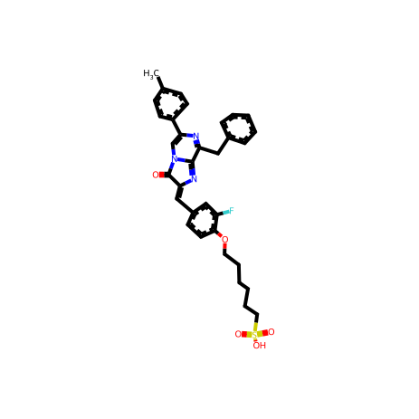 Cc1ccc(C2=CN3C(=O)/C(=C/c4ccc(OCCCCCCS(=O)(=O)O)c(F)c4)N=C3C(Cc3ccccc3)=N2)cc1